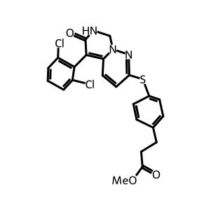 COC(=O)CCc1ccc(SC2=NN3CNC(=O)C(c4c(Cl)cccc4Cl)=C3C=C2)cc1